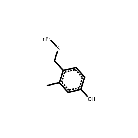 CCCSCc1ccc(O)cc1C